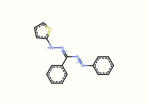 c1ccc(/N=N/C(=N/Nc2cccs2)c2ccccc2)cc1